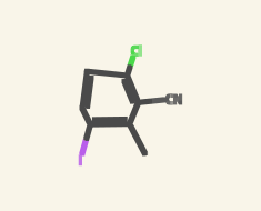 Cc1c(I)ccc(Cl)c1C#N